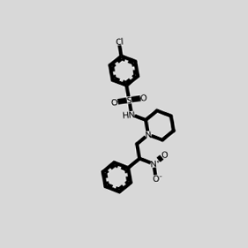 O=[N+]([O-])C(CN1CCCCC1NS(=O)(=O)c1ccc(Cl)cc1)c1ccccc1